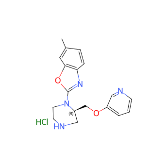 Cc1ccc2nc(N3CCNC[C@@H]3COc3cccnc3)oc2c1.Cl